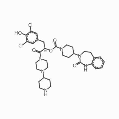 O=C(O[C@H](Cc1cc(Cl)c(O)c(Cl)c1)C(=O)N1CCN(C2CCNCC2)CC1)N1CCC(N2CCc3ccccc3NC2=O)CC1